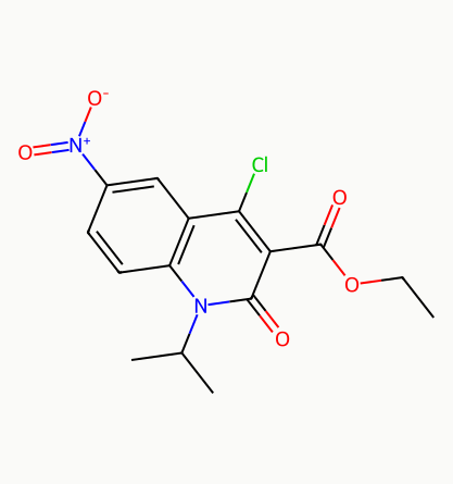 CCOC(=O)c1c(Cl)c2cc([N+](=O)[O-])ccc2n(C(C)C)c1=O